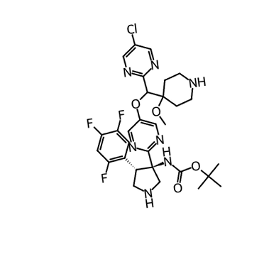 COC1(C(Oc2cnc([C@]3(NC(=O)OC(C)(C)C)CNC[C@@H]3c3cc(F)c(F)cc3F)nc2)c2ncc(Cl)cn2)CCNCC1